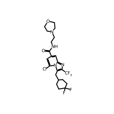 O=C(NCCN1CCOCC1)c1cc(Cl)n2c(CC3CCC(F)(F)CC3)c(C(F)(F)F)nc2c1